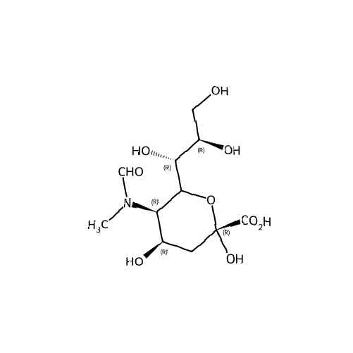 CN(C=O)[C@H]1C([C@H](O)[C@H](O)CO)O[C@@](O)(C(=O)O)C[C@H]1O